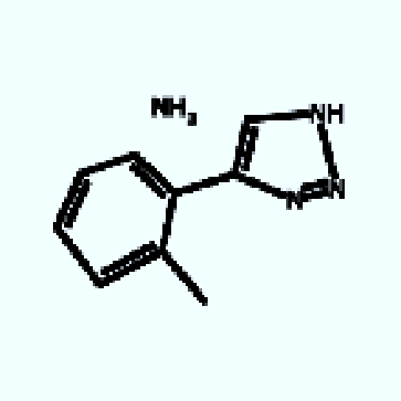 Cc1ccccc1-c1c[nH]nn1.N